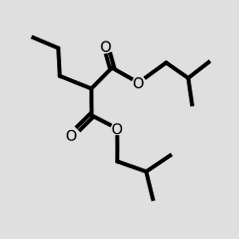 CCCC(C(=O)OCC(C)C)C(=O)OCC(C)C